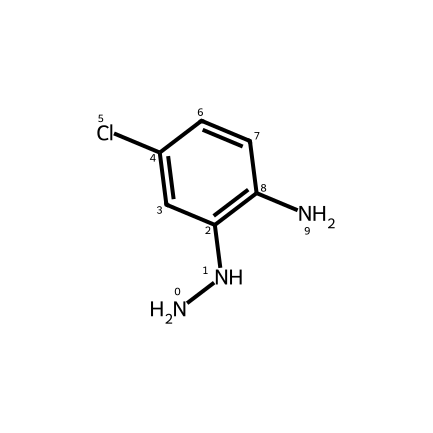 NNc1cc(Cl)ccc1N